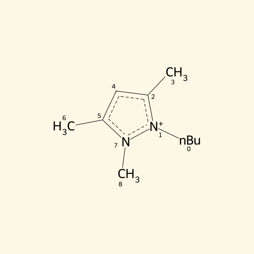 CCCC[n+]1c(C)cc(C)n1C